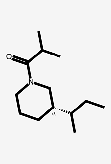 CCC(C)[C@@H]1CCCN(C(=O)C(C)C)C1